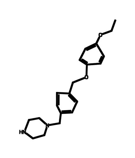 CCOc1ccc(OCc2ccc(CN3CCNCC3)cc2)cc1